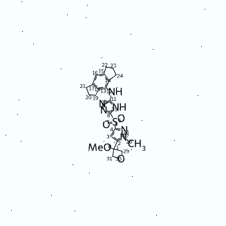 COC1(c2cc(S(=O)(=O)c3nnc(Nc4c5c(cc6c4CCC6)CCC5)[nH]3)nn2C)COC1